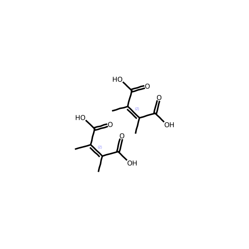 C/C(C(=O)O)=C(\C)C(=O)O.C/C(C(=O)O)=C(\C)C(=O)O